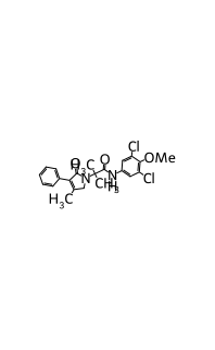 COc1c(Cl)cc(NC(=O)C(C)(C)N2CC(C)=C(c3ccccc3)C2=O)cc1Cl